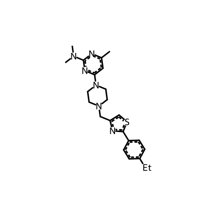 CCc1ccc(-c2nc(CN3CCN(c4cc(C)nc(N(C)C)n4)CC3)cs2)cc1